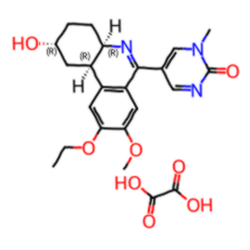 CCOc1cc2c(cc1OC)C(c1cnc(=O)n(C)c1)=N[C@@H]1CC[C@@H](O)C[C@H]21.O=C(O)C(=O)O